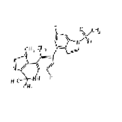 Cc1c(-c2cc(F)cc3c2ccn3S(C)(=O)=O)cc(F)c2c1-c1c(ncn1C)C(C)(C)N2